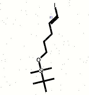 CC(C)(C)[Si](C)(C)OCCC/C=C/I